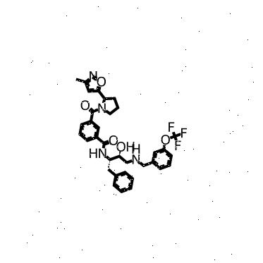 Cc1cc(C2CCCN2C(=O)c2cccc(C(=O)N[C@@H](Cc3ccccc3)[C@H](O)CNCc3cccc(OC(F)(F)F)c3)c2)on1